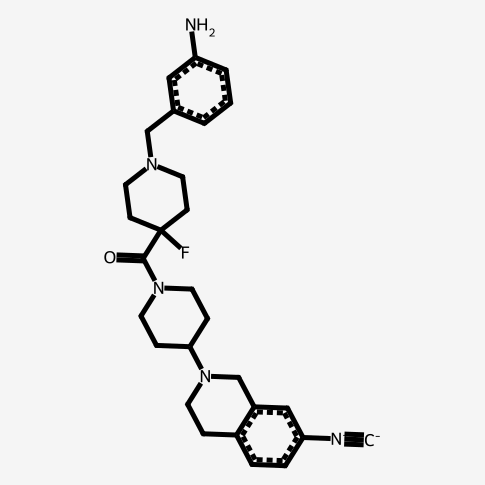 [C-]#[N+]c1ccc2c(c1)CN(C1CCN(C(=O)C3(F)CCN(Cc4cccc(N)c4)CC3)CC1)CC2